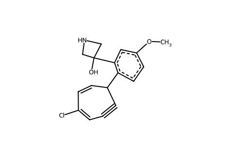 COc1ccc(C2C#CC=C(Cl)C=C2)c(C2(O)CNC2)c1